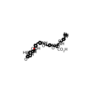 C[C@]12C=CC(=O)C=C1CC[C@@H]1[C@@H]2[C@@H](O)C[C@@]2(C)[C@H]1C[C@H]1OC(c3ccc(CC45CCC(NC(=O)OCc6ccc(NC(=O)[C@H](CCC(=O)O)NC(=O)CNC(=O)Cc7ccc(-c8nncnn8)cc7)cc6)(CC4)CO5)cc3)O[C@]12C(=O)CO